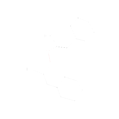 CC(CC1CCCCC1)OOC(C)CC1CCCCC1